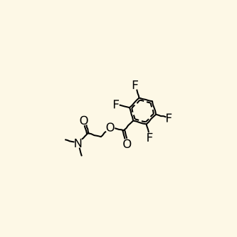 CN(C)C(=O)COC(=O)c1c(F)c(F)cc(F)c1F